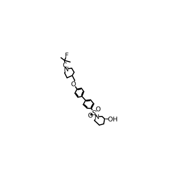 CC(C)(F)CN1CCC(COc2ccc(-c3ccc(S(=O)(=O)N4CCC[C@H](O)C4)cc3)cc2)CC1